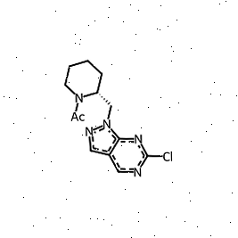 CC(=O)N1CCCC[C@@H]1Cn1ncc2cnc(Cl)nc21